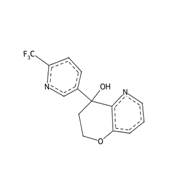 OC1(c2ccc(C(F)(F)F)nc2)CCOc2cccnc21